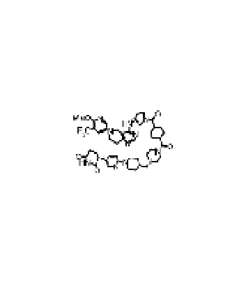 COc1ncc(N2CCc3ncnc(N[C@H]4CCN(C(=O)C5CCC(C(=O)N6CCN(CC7CCN(c8ccc(C9CCC(=O)NC9=O)cn8)CC7)CC6)CC5)C4)c3C2)cc1C(F)(F)F